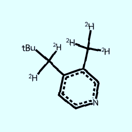 [2H]C([2H])([2H])c1cnccc1C([2H])([2H])C(C)(C)C